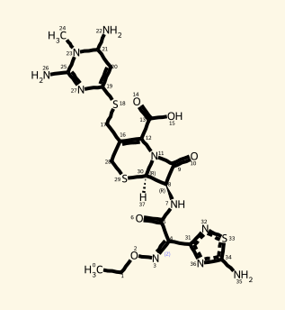 CCO/N=C(\C(=O)N[C@@H]1C(=O)N2C(C(=O)O)=C(CSC3=CC(N)N(C)C(N)=N3)CS[C@H]12)c1nsc(N)n1